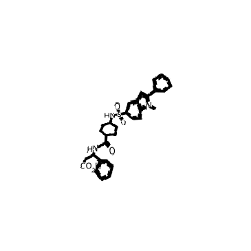 Cn1c(-c2ccccc2)cc2cc(S(=O)(=O)NC3CCC(C(=O)NC(CC(=O)O)c4ccccc4)CC3)ccc21